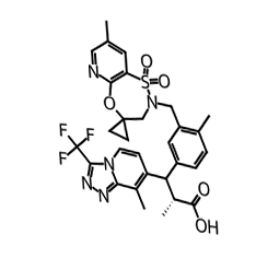 Cc1cnc2c(c1)S(=O)(=O)N(Cc1cc(C(c3ccn4c(C(F)(F)F)nnc4c3C)[C@@H](C)C(=O)O)ccc1C)CC1(CC1)O2